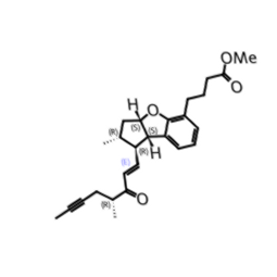 CC#CC[C@@H](C)C(=O)/C=C/[C@@H]1[C@H]2c3cccc(CCCC(=O)OC)c3O[C@H]2C[C@H]1C